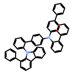 c1ccc(-c2ccc(N(c3ccc(-c4ccccc4-n4c5ccccc5c5cccc(-c6ccccc6)c54)cc3)c3ccccc3-c3ccccc3)cc2)cc1